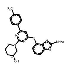 CC(=O)Nc1nc2c(Oc3cc(-c4ccc(C(F)(F)F)cc4)nc(N4CCC[C@H](O)C4)n3)cccc2s1